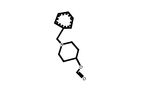 O=COC1CCN(Cc2ccccc2)CC1